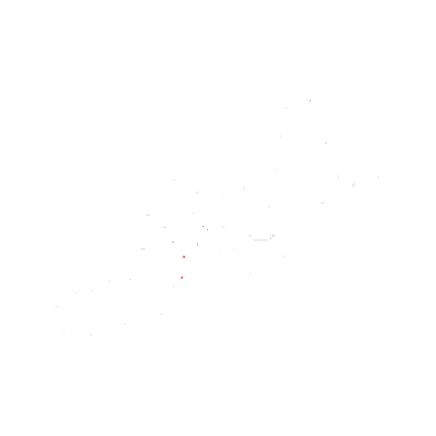 C1=CC2Oc3cccc(N(c4ccc(-c5ccc(-c6ccccc6)c(-c6ccccc6)c5)cc4)c4ccccc4-c4ccc5oc6cc7ccccc7cc6c5c4)c3C2C=C1